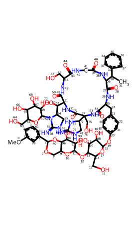 COc1cccc(C2OCC3OC(OC4C(CO)OC(Oc5ccc(CC6NC(=O)C(C(C)c7ccccc7)NC(=O)CNC(=O)C(CO)NC(=O)C(C(O)C7CNC(=N)N7C7OC(CO)C(O)C(O)C7O)NC(=O)C(CO)(C7CNC(=N)N7)NC6=O)cc5)C(O)C4O)C(O)C(O)C3O2)c1